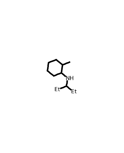 CCC(CC)NC1CCCCC1C